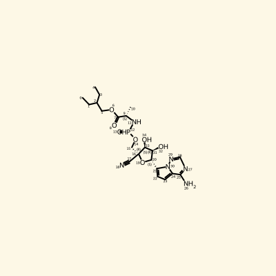 CCC(CC)COC(=O)[C@H](C)N[PH](=O)OC[C@@]1(C#N)O[C@@H](c2ccc3c(N)ncnn23)[C@H](O)[C@@H]1O